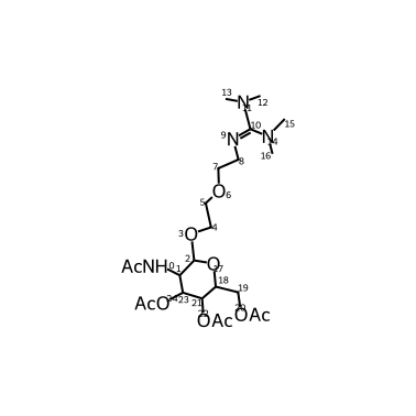 CC(=O)NC1C(OCCOCCN=C(N(C)C)N(C)C)OC(COC(C)=O)C(OC(C)=O)C1OC(C)=O